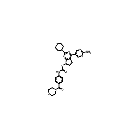 Nc1ncc(-c2nc(N3CCOCC3)nc3c2CCN3OC(=O)Nc2ccc(C(=O)N3CCOCC3)cc2)cn1